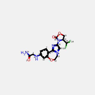 NC(=O)CNc1ccc2c(c1)OCCn1cc(N3C(=O)OCC3C(F)F)nc1-2